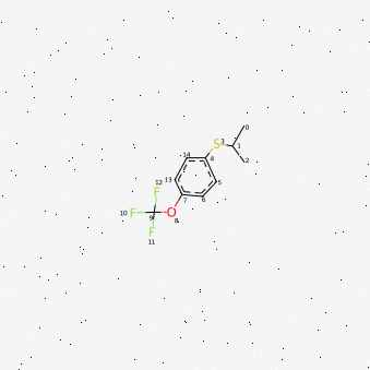 CC(C)Sc1ccc(OC(F)(F)F)cc1